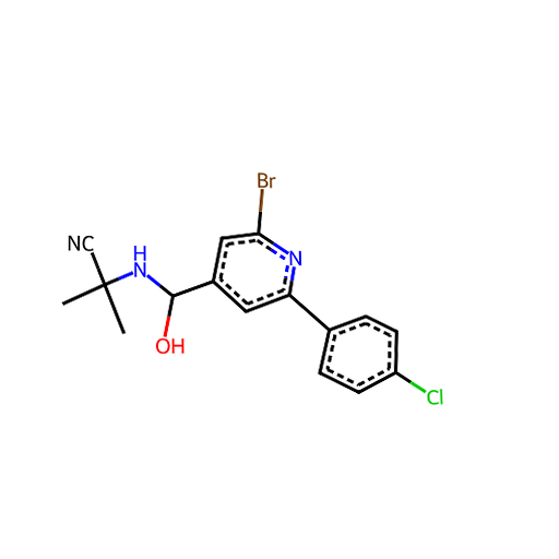 CC(C)(C#N)NC(O)c1cc(Br)nc(-c2ccc(Cl)cc2)c1